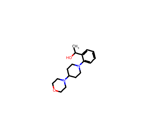 CC(O)c1ccccc1N1CCC(N2CCOCC2)CC1